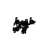 CN(C(=O)[C@H](Cc1cc(F)cc(F)c1)CS(=O)(=O)CS(=O)(=O)N[C@@H](Cc1cc(F)cc(F)c1)C(=O)N(C)c1ccc2scnc2c1)c1ccc2scnc2c1